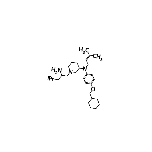 CC(C)=CCN(c1ccc(OCC2CCCCC2)cc1)C1CCCN(CC(N)CC(C)C)C1